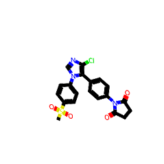 CS(=O)(=O)c1ccc(-n2cnc(Cl)c2-c2ccc(N3C(=O)CCC3=O)cc2)cc1